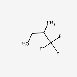 CC(CO)C(F)(F)F